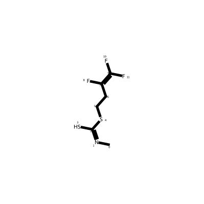 CN=C(S)SCCC(F)=C(F)F